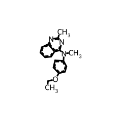 CCOc1ccc(N(C)c2nc(C)nc3ccccc23)cc1